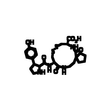 O=C(N[C@H]1CSSC[C@@H](C(=O)O)NC(=O)C2(CCCC2)CCNC1=O)C1NCCC1c1ccc(O)cc1